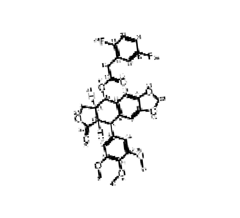 COc1cc([C@@H]2c3cc4c(cc3[C@H](OC(=O)Cc3cc(F)ccc3F)[C@H]3COC(=O)[C@@H]23)OCO4)cc(OC)c1OC